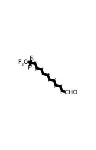 O=CCCCCCCCCCCC(F)(F)C(F)(F)F